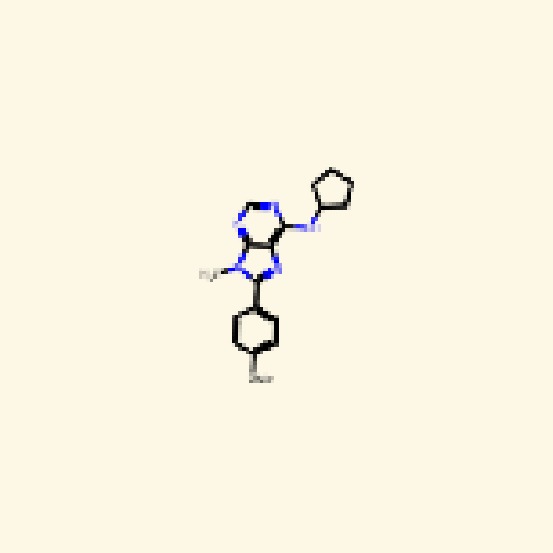 COc1ccc(-c2nc3c(NC4CCCC4)ncnc3n2C)cc1